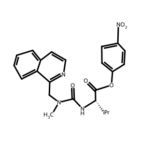 CC(C)[C@H](NC(=O)N(C)Cc1nccc2ccccc12)C(=O)Oc1ccc([N+](=O)[O-])cc1